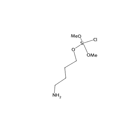 CO[Si](Cl)(OC)OCCCCN